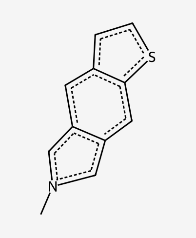 Cn1cc2cc3ccsc3cc2c1